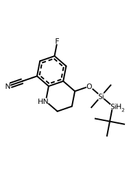 CC(C)(C)[SiH2][Si](C)(C)OC1CCNc2c(C#N)cc(F)cc21